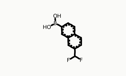 OB(O)c1ccc2ccc(C(F)F)cc2c1